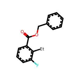 CCc1c(F)cccc1C(=O)OCc1ccccc1